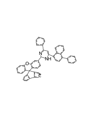 C1=C(c2ccc(-c3ccccc3)c3ccccc23)NC(c2ccc3c(c2)Oc2ccccc2C32c3ccccc3-c3ccccc32)N=C1c1ccccc1